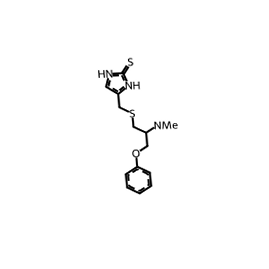 CNC(COc1ccccc1)CSCc1c[nH]c(=S)[nH]1